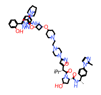 Cc1nccn1-c1ccc([C@H](C)NC(=O)[C@@H]2C[C@@H](O)CN2C(=O)[C@@H](c2cc(N3CCN(CCN4CCC(O[C@H]5C[C@H](Oc6cc(N7C8CCC7CN(c7cc(-c9ccccc9O)nnc7N)C8)ccn6)C5)CC4)CC3)no2)C(C)C)cc1